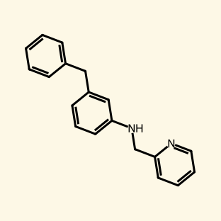 c1ccc(Cc2cccc(NCc3ccccn3)c2)cc1